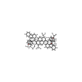 CC(C)c1ccc(-n2c3ccccc3c3cccc(N(c4cccc5c4CCCC5)c4cc(C(C)C)c5ccc6c(N(c7cccc8c7CCCC8)c7cccc8c9ccccc9n(-c9ccc(C(C)C)cc9)c78)cc(C(C)C)c7ccc4c5c76)c32)cc1